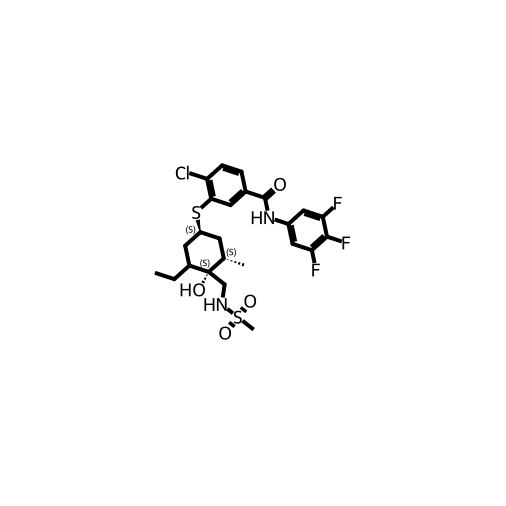 CCC1C[C@@H](Sc2cc(C(=O)Nc3cc(F)c(F)c(F)c3)ccc2Cl)C[C@H](C)[C@@]1(O)CNS(C)(=O)=O